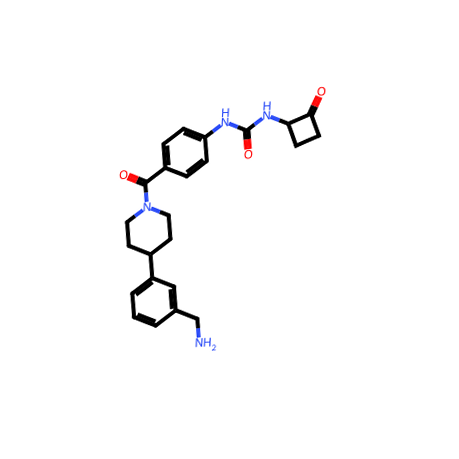 NCc1cccc(C2CCN(C(=O)c3ccc(NC(=O)NC4CCC4=O)cc3)CC2)c1